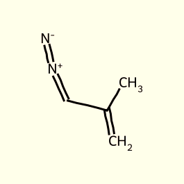 C=C(C)C=[N+]=[N-]